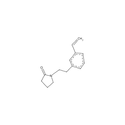 C=Cc1cccc(CCN2CCCC2=O)c1